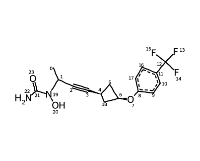 CC(C#C[C@H]1C[C@@H](Oc2ccc(C(F)(F)F)cc2)C1)N(O)C(N)=O